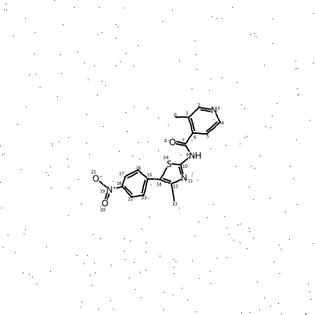 Cc1cnccc1C(=O)Nc1nc(C)c(-c2ccc([N+](=O)[O-])cc2)s1